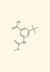 COC(=O)Nc1cc(C(=O)O)cc(C(C)(C)C)c1